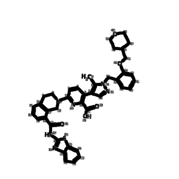 Cc1c(-c2ccc(N3CCc4cccc(C(=O)Nc5nc6ccccc6s5)c4C3)nc2C(=O)O)cnn1Cc1ccccc1OCC1CCOCC1